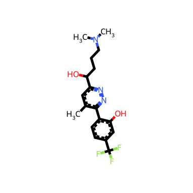 Cc1cc(C(O)CCCN(C)C)nnc1-c1ccc(C(F)(F)F)cc1O